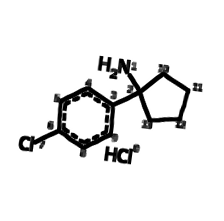 Cl.NC1(c2ccc(Cl)cc2)CCCC1